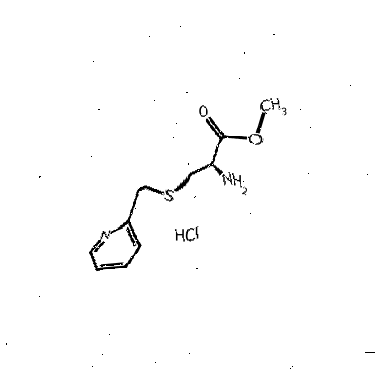 COC(=O)[C@@H](N)CSCc1ccccn1.Cl